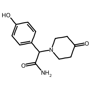 NC(=O)C(c1ccc(O)cc1)N1CCC(=O)CC1